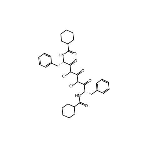 O=C(N[C@@H](Cc1ccccc1)C(=O)C(Cl)C(=O)C(Cl)C(=O)[C@H](Cc1ccccc1)NC(=O)C1CCCCC1)C1CCCCC1